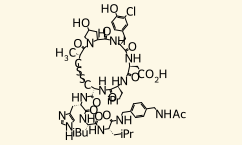 CCC(C)[C@H](NC(=O)[C@H](Cc1c[nH]cn1)NC(=O)[C@@H]1CSSC[C@H](C)C(=O)N2CC(O)C[C@H]2C(=O)N[C@@H](Cc2ccc(O)c(Cl)c2)C(=O)N[C@@H](CC(=O)O)C(=O)N[C@@H](CC(C)C)C(=O)N1)C(=O)N[C@@H](CC(C)C)C(=O)NCc1ccc(CNC(C)=O)cc1